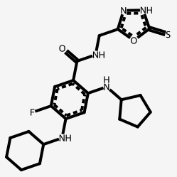 O=C(NCc1n[nH]c(=S)o1)c1cc(F)c(NC2CCCCC2)cc1NC1CCCC1